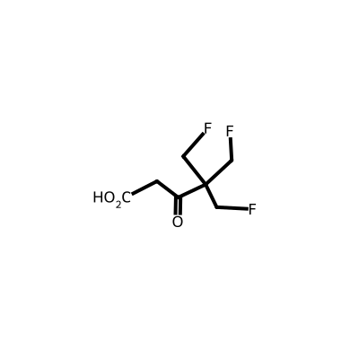 O=C(O)CC(=O)C(CF)(CF)CF